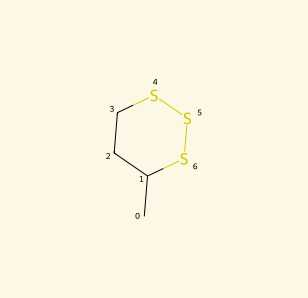 CC1CCSSS1